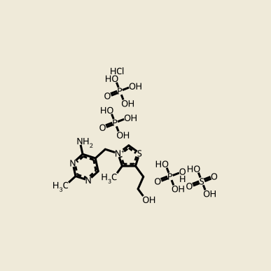 Cc1ncc(C[n+]2csc(CCO)c2C)c(N)n1.Cl.O=P(O)(O)O.O=P(O)(O)O.O=P(O)(O)O.O=S(=O)(O)O